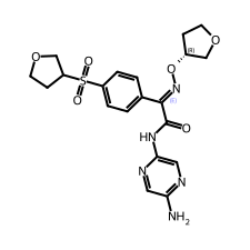 Nc1cnc(NC(=O)/C(=N/O[C@@H]2CCOC2)c2ccc(S(=O)(=O)C3CCOC3)cc2)cn1